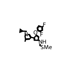 CSCNC1C=C(Oc2ccc(F)cc2F)C(C2=CN(CC3CC3)CC(C)=C2)=C1